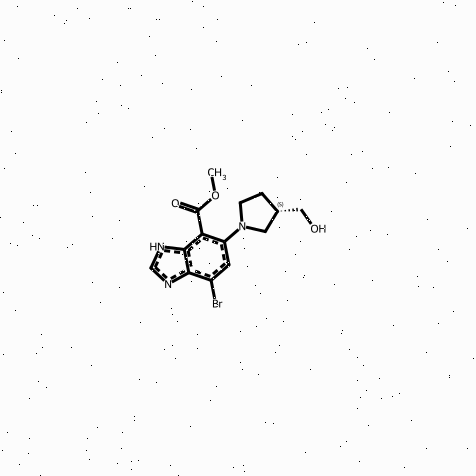 COC(=O)c1c(N2CC[C@H](CO)C2)cc(Br)c2nc[nH]c12